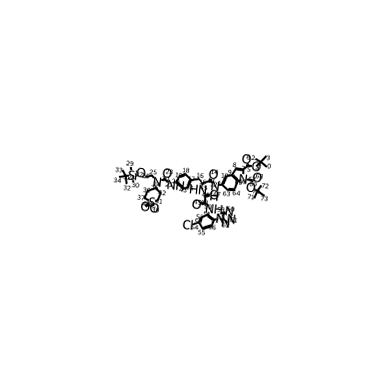 CC(C)(C)OC(=O)c1cc2cc(NC(=O)[C@H](Cc3ccc(NC(=O)N(CCO[Si](C)(C)C(C)(C)C)C4CCS(=O)(=O)CC4)cc3)NC(=O)C(=O)Nc3cc(Cl)ccc3-n3cnnn3)ccc2n1C(=O)OC(C)(C)C